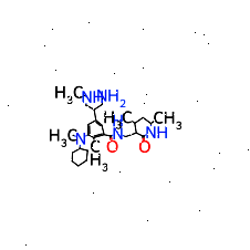 CNCC(CN)c1cc(C(=O)NCC2C(=O)NC(C)CC2C)c(C)c(N(C)C2CCCCC2)c1